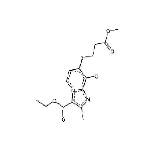 CCOC(=O)c1c(C)nc2c(Cl)c(SCCC(=O)OC)ccn12